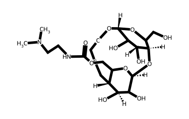 CN(C)CCNC(=O)OCC1O[C@H]2O[C@@H]3C(CO)O[C@@H](OCCCC[C@H]1[C@H](O)C2O)C(O)[C@H]3O